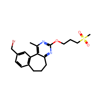 Cc1nc(OCCCS(C)(=O)=O)nc2c1-c1cc(CBr)ccc1CCC2